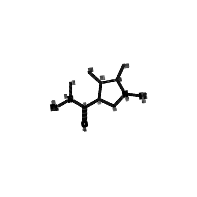 CCN(C)C(=O)C1CN(CC)C(C)C1C